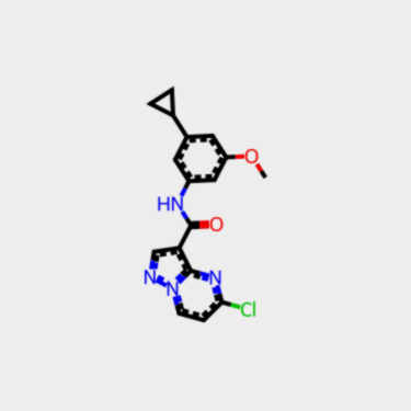 COc1cc(NC(=O)c2cnn3ccc(Cl)nc23)cc(C2CC2)c1